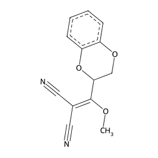 COC(=C(C#N)C#N)C1COc2ccccc2O1